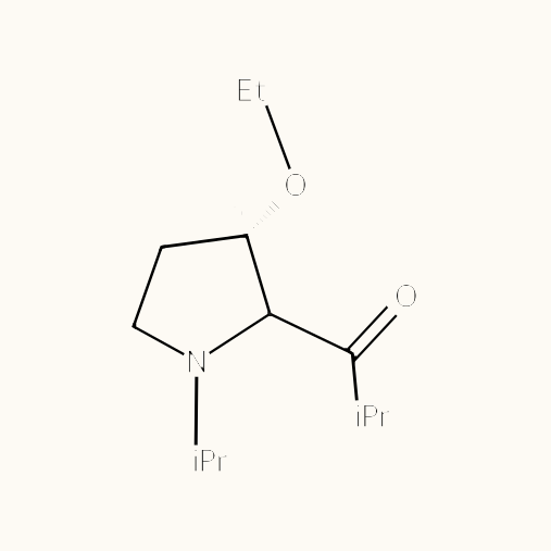 CCO[C@H]1CCN(C(C)C)C1C(=O)C(C)C